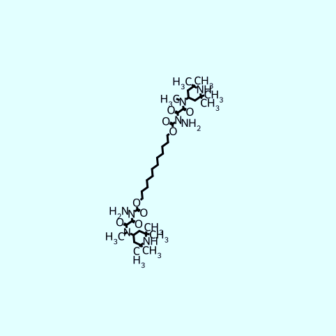 CN(C(=O)C(=O)N(N)C(=O)OCCCCCCCCCCCCOC(=O)N(N)C(=O)C(=O)N(C)C1CC(C)(C)NC(C)(C)C1)C1CC(C)(C)NC(C)(C)C1